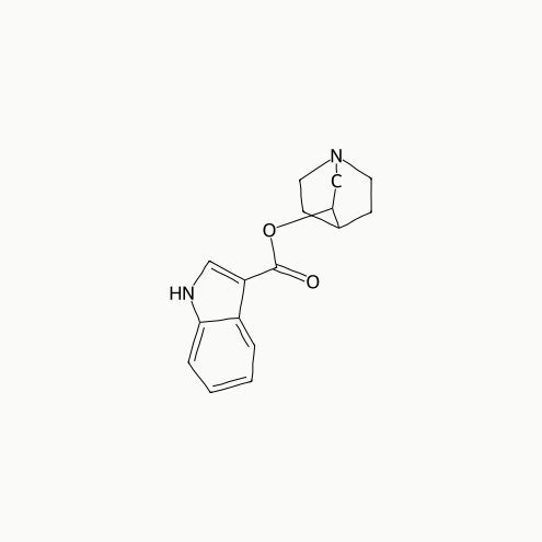 O=C(OC1CN2CCC1CC2)c1c[nH]c2ccccc12